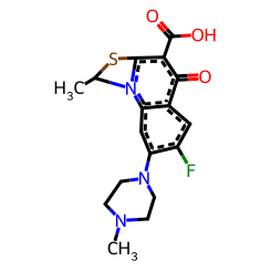 CC1Sc2c(C(=O)O)c(=O)c3cc(F)c(N4CCN(C)CC4)cc3n21